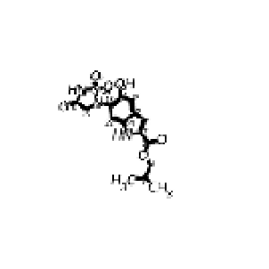 CC(C)COC(=O)c1cc2cc(O)c(N3CC(=O)NS3(=O)=O)cc2[nH]1